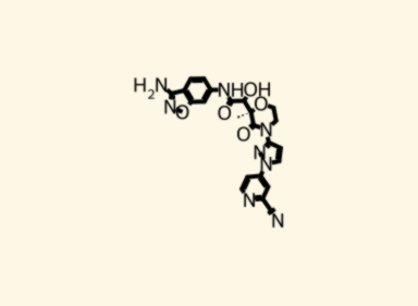 C[C@]1(C(O)C(=O)Nc2ccc3c(N)noc3c2)OCCN(c2ccn(-c3ccnc(C#N)c3)n2)C1=O